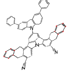 N#Cc1cc2c(c3c1C1c4ccccc4C3c3ccccc31)c1cc(-n3c4ccc(-c5ccccc5)cc4c4cc(-c5ccccc5)ccc43)cc3c4c5c(c(C#N)cc4n2c13)C1c2ccccc2C5c2ccccc21